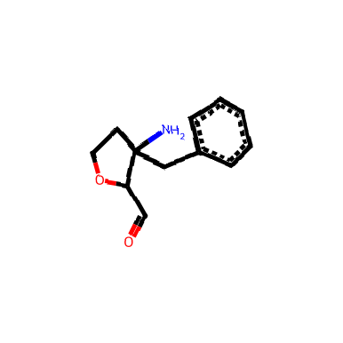 NC1(Cc2ccccc2)CCOC1C=O